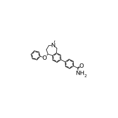 CN1CCC(Oc2ccccc2)c2ccc(-c3ccc(C(N)=O)cc3)cc2C1